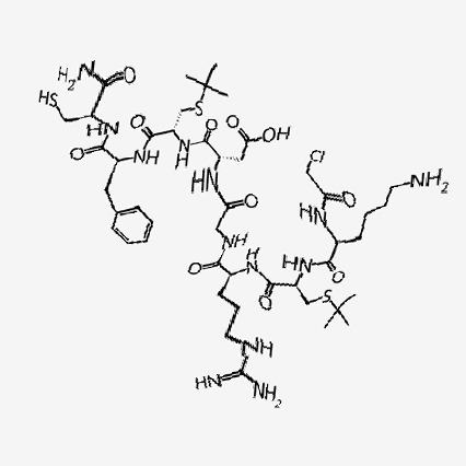 CC(C)(C)SC[C@H](NC(=O)[C@H](CCCCN)NC(=O)CCl)C(=O)N[C@@H](CCCNC(=N)N)C(=O)NCC(=O)N[C@@H](CC(=O)O)C(=O)N[C@@H](CSC(C)(C)C)C(=O)N[C@@H](Cc1ccccc1)C(=O)N[C@@H](CS)C(N)=O